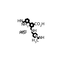 CC(=N)N1CCC(CNCc2cc(C(=O)O)cc(-c3cccc(C(=N)N)c3)c2)CC1.Cl.Cl